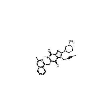 CC#CCn1c(N2CCC[C@@H](N)C2)nc2c(=O)n(C)n(Cc3nc(C)cc4ccccc34)c(=O)c21